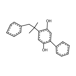 CC(C)(Cc1ccccc1)c1cc(O)c(-c2ccccc2)cc1O